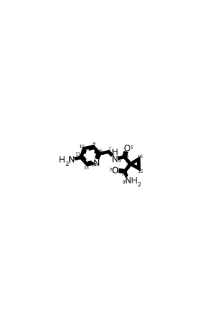 NC(=O)C1(C(=O)NCc2ccc(N)cn2)CC1